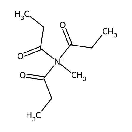 CCC(=O)[N+](C)(C(=O)CC)C(=O)CC